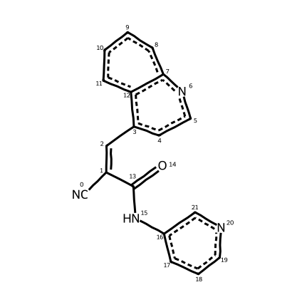 N#CC(=Cc1ccnc2ccccc12)C(=O)Nc1cccnc1